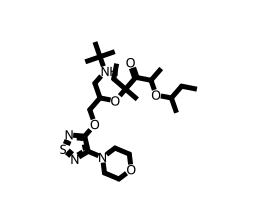 CCC(C)OC(C)C(=O)C(C)(CC)OC(CNC(C)(C)C)COc1nsnc1N1CCOCC1